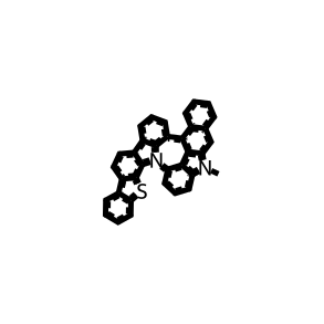 Cn1c2cc3ccccc3c3c4cccc5c6ccc7c8ccccc8sc7c6n(c6cccc1c6c32)c54